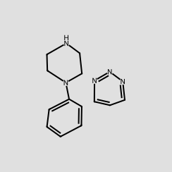 c1ccc(N2CCNCC2)cc1.c1cnnnc1